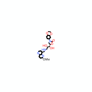 COc1ccc2nccc(CNC[C@H](O)C(O)[C@H]3CN(c4ccc5c(c4)OCCO5)C(=O)O3)c2n1